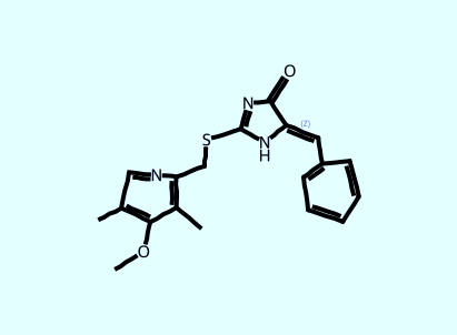 COc1c(C)cnc(CSC2=NC(=O)/C(=C/c3ccccc3)N2)c1C